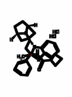 Cc1nc2ccccc2n1[C@@H]1C[C@H]2CC[C@@H](C1)N2CCC(NC(=O)C1CCC1)c1ccccc1.Cl.Cl